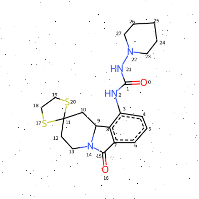 O=C(Nc1cccc2c1C1CC3(CCN1C2=O)SCCS3)NN1CCCCC1